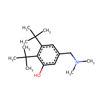 CN(C)Cc1cc(O)c(C(C)(C)C)c(C(C)(C)C)c1